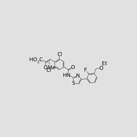 CCOCc1cccc(-c2csc(NC(=O)c3cc(Cl)c(/C=C(\OC)C(=O)O)c(Cl)c3)n2)c1F